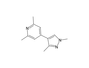 Cc1cc(-c2cn(C)nc2C)cc(C)n1